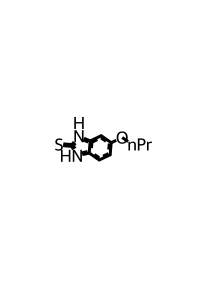 CCCOc1ccc2[nH]c(=S)[nH]c2c1